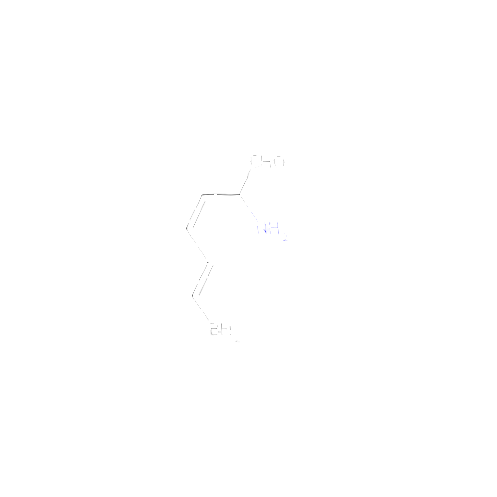 B/C=C/C=C\C(N)C=O